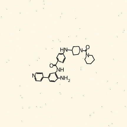 Nc1ccc(-c2ccncc2)cc1NC(=O)c1ccc(NC2CCN(C(=O)N3CCCCC3)CC2)cc1